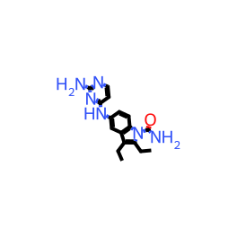 CCc1c(CC)n(C(N)=O)c2ccc(Nc3ccnc(N)n3)cc12